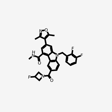 CNC(=O)c1cc(-c2c(C)noc2C)cc2c1c1cc(C(=O)N3CC(F)C3)ccc1n2Cc1cccc(F)c1F